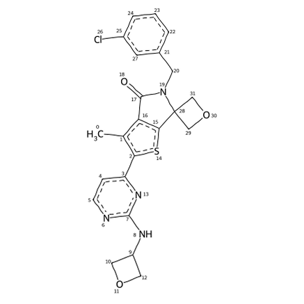 Cc1c(-c2ccnc(NC3COC3)n2)sc2c1C(=O)N(Cc1cccc(Cl)c1)C21COC1